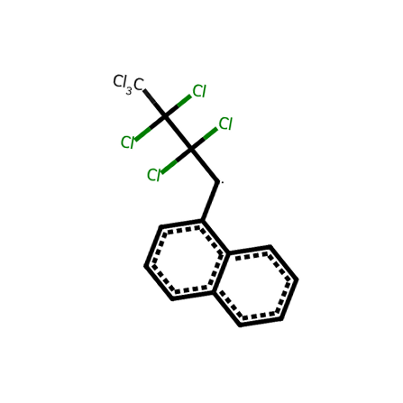 ClC(Cl)(Cl)C(Cl)(Cl)C(Cl)(Cl)[CH]c1cccc2ccccc12